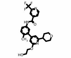 Cc1ccc(NC(=O)c2ccnc(C(F)(F)F)c2)cc1-c1cc(OCCO)nc(C2CCOCC2)c1